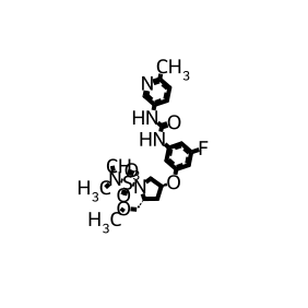 COC[C@H]1C[C@H](Oc2cc(F)cc(NC(=O)Nc3ccc(C)nc3)c2)CN1S(=O)(=O)N(C)C